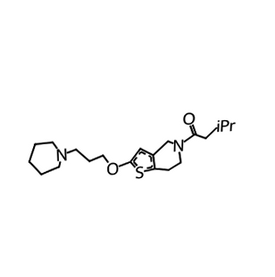 CC(C)CC(=O)N1CCc2sc(OCCCN3CCCCC3)cc2C1